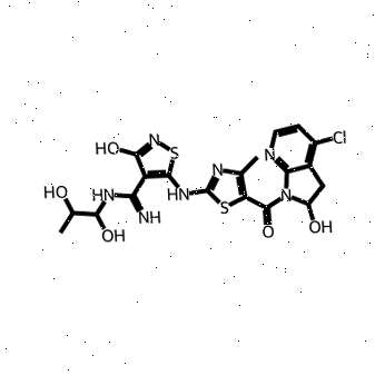 Cc1nc(Nc2snc(O)c2C(=N)NC(O)C(C)O)sc1C(=O)N1c2nccc(Cl)c2CC1O